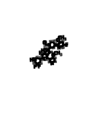 COc1ccncc1-c1cc(C2CNCC(F)(F)C2)c(F)c2[nH]c(C3CN(c4ncc(F)cc4OC)CCN3C=O)cc12